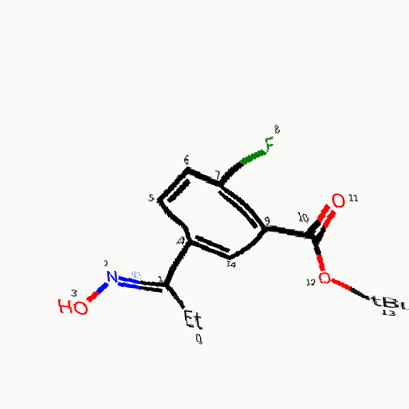 CC/C(=N\O)c1ccc(F)c(C(=O)OC(C)(C)C)c1